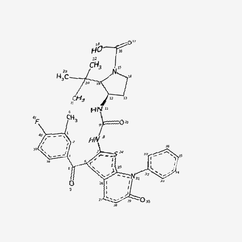 Cc1cc(C(=O)c2c(NC(=O)N[C@@H]3CCN(C(=O)O)C3C(C)(C)C)sc3c2ccc(=O)n3-c2ccccc2)ccc1F